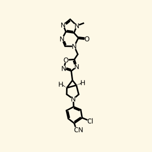 Cn1cnc2ncn(Cc3nc(C4[C@H]5CN(c6ccc(C#N)c(Cl)c6)C[C@@H]45)no3)c(=O)c21